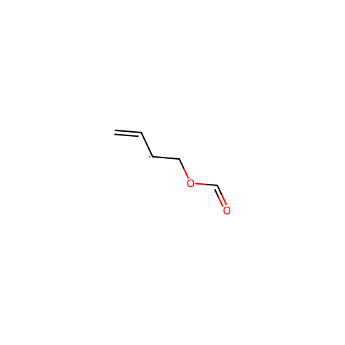 C=C[CH]COC=O